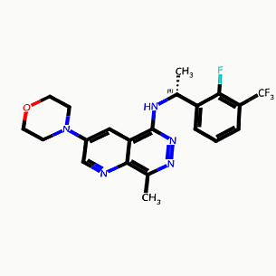 Cc1nnc(N[C@H](C)c2cccc(C(F)(F)F)c2F)c2cc(N3CCOCC3)cnc12